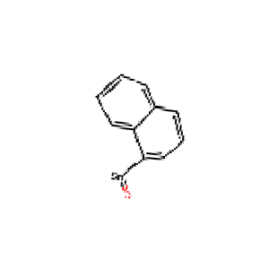 [O]=[Sn][c]1cccc2ccccc12